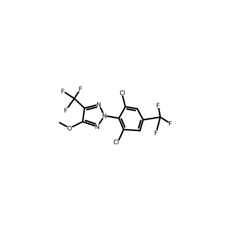 COc1nn(-c2c(Cl)cc(C(F)(F)F)cc2Cl)nc1C(F)(F)F